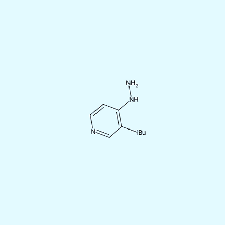 CCC(C)c1cnccc1NN